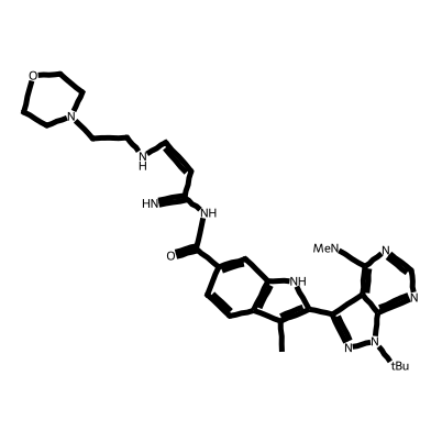 CNc1ncnc2c1c(-c1[nH]c3cc(C(=O)NC(=N)/C=C\NCCN4CCOCC4)ccc3c1C)nn2C(C)(C)C